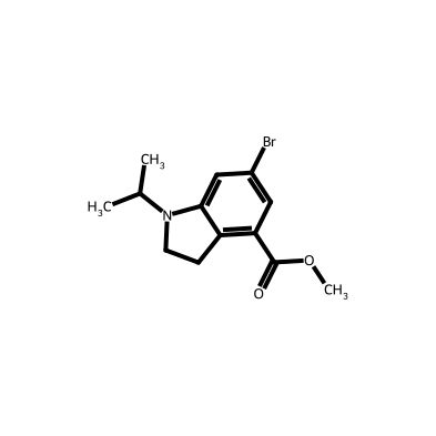 COC(=O)c1cc(Br)cc2c1CCN2C(C)C